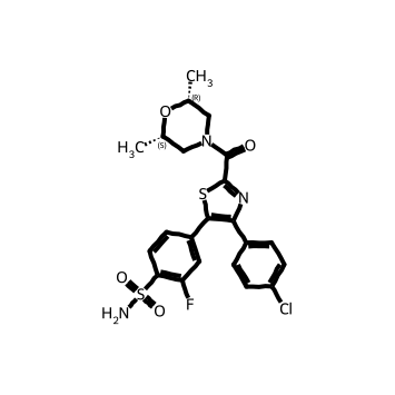 C[C@@H]1CN(C(=O)c2nc(-c3ccc(Cl)cc3)c(-c3ccc(S(N)(=O)=O)c(F)c3)s2)C[C@H](C)O1